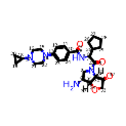 N[C@@H]1CN(C(=O)[C@@H](NC(=O)c2ccc(N3CCN(C4CC4)CC3)cc2)C2CCCC2)[C@@H]2C(=O)CO[C@H]12